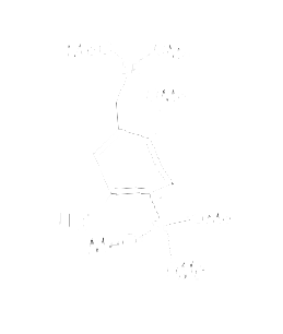 CO[Si](Cc1ccc([Si](OC)(OC)OC)c(C)c1)(OC)OC